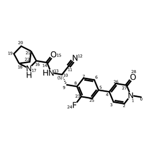 Cn1ccc(-c2ccc(C[C@@H](C#N)NC(=O)C3NC4CCC3C4)c(F)c2)cc1=O